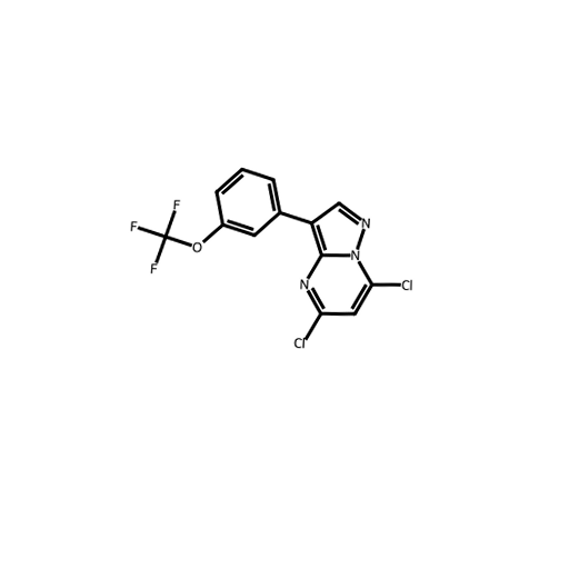 FC(F)(F)Oc1cccc(-c2cnn3c(Cl)cc(Cl)nc23)c1